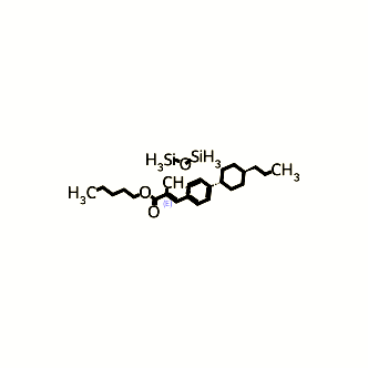 CCCCCOC(=O)/C(C)=C/c1ccc([C@H]2CC[C@H](CCC)CC2)cc1.[SiH3]O[SiH3]